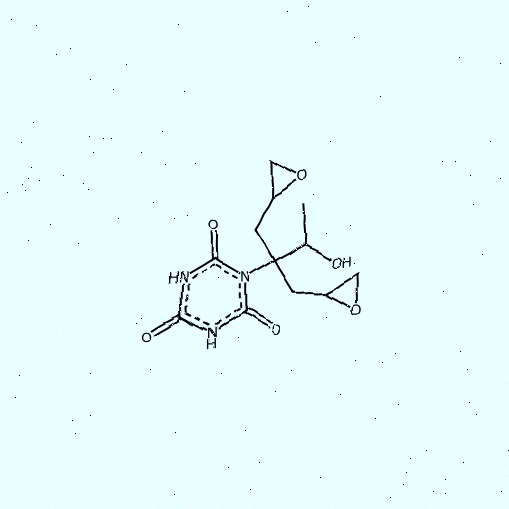 CC(O)C(CC1CO1)(CC1CO1)n1c(=O)[nH]c(=O)[nH]c1=O